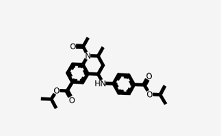 CC(=O)N1c2ccc(C(=O)OC(C)C)cc2C(Nc2ccc(C(=O)OC(C)C)cc2)CC1C